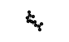 c1ccc(-c2cc(-c3ccccc3)nc(-c3cccc(-c4cccc5c4oc4cc6c(cc45)oc4c(-c5cccc(-c7nc(-c8ccccc8)cc(-c8ccccc8)n7)c5)cccc46)c3)n2)cc1